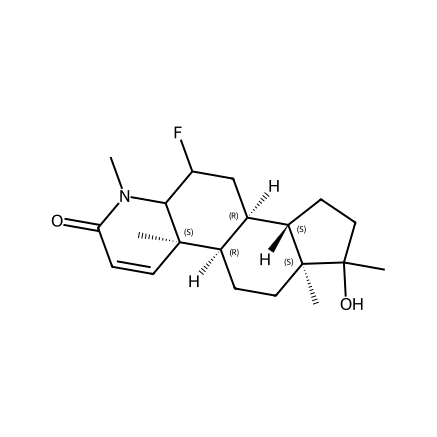 CN1C(=O)C=C[C@@]2(C)C1C(F)C[C@@H]1[C@H]2CC[C@@]2(C)[C@H]1CCC2(C)O